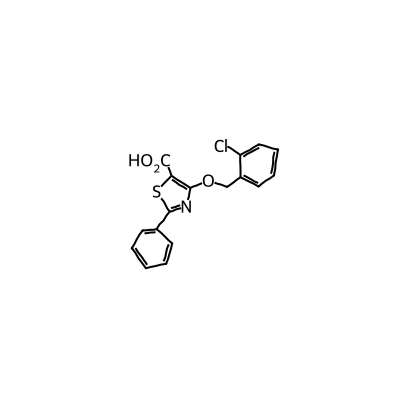 O=C(O)c1sc(-c2ccccc2)nc1OCc1ccccc1Cl